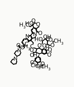 CCc1c2c(nc3ccc(OC(=O)N4CCC(N5CCCCC5)CC4)cc13)-c1cc3c(c(=O)n1C2)COC(=O)[C@]3(O)CC.COc1cc([C@@H]2c3cc4c(cc3C(O[C@@H]3O[C@@H]5CO[C@@H](C)O[C@H]5[C@H](O)[C@H]3O)C3COC(=O)[C@@H]32)OCO4)cc(OC)c1O